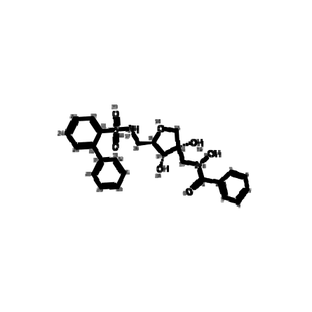 O=C(c1ccccc1)N(O)C[C@]1(O)CO[C@H](CNS(=O)(=O)c2ccccc2-c2ccccc2)[C@H]1O